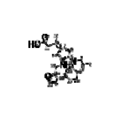 CC(C)CN(c1ccc(C(C)CC(=O)O)cc1NCc1ccco1)C1CCCCC1